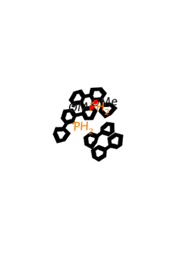 COc1cccc(-c2cccc(-c3ccccc3)c2P)c1-c1c(OC)cccc1-c1cccc(-c2ccccc2)c1P.c1ccc(-c2ccccc2)cc1.c1ccc(-c2ccccc2)cc1